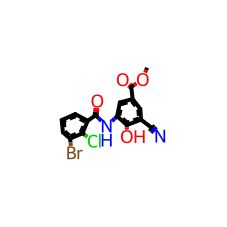 COC(=O)c1cc(C#N)c(O)c(NC(=O)c2cccc(Br)c2Cl)c1